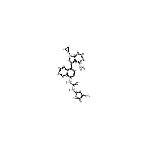 CC(C)(C)c1cc(NC(=O)Nc2ccc(-c3cn(C4CC4)c4ncnc(N)c34)c3ccncc23)on1